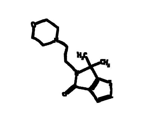 CC1(C)c2s[c]cc2C(=O)N1CCN1CCOCC1